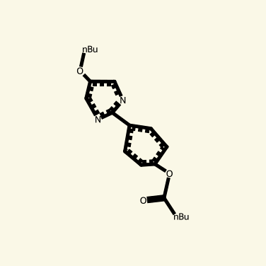 CCCCOc1cnc(-c2ccc(OC(=O)CCCC)cc2)nc1